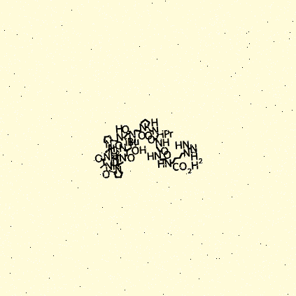 CC[C@H](C)[C@H](NC(=O)[C@@H]1CCCN1C(=O)CNC(=O)[C@H](C)NC(=O)[C@@H]1CCCN1C(=O)CNC(=O)[C@@H](N)[C@@H](C)O)C(=O)NCC(=O)N1CCC[C@H]1C(=O)N[C@H](C(=O)NCC(=O)N[C@@H](C)C(=O)N[C@@H](CCCNC(=N)N)C(=O)O)C(C)C